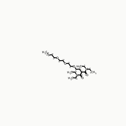 CCN(CC)C(=O)C(CCOCCOCCOCCSC)C(=O)N(CC)CC